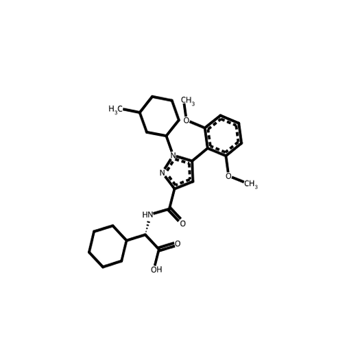 COc1cccc(OC)c1-c1cc(C(=O)N[C@H](C(=O)O)C2CCCCC2)nn1C1CCCC(C)C1